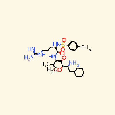 Cc1ccc(S(=O)(=O)N[C@@H](CCCNC(=N)N)C(=O)N[C@H](C(=O)C(O)C(N)CC2CCCCC2)C(C)C)cc1